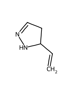 C=CC1CC=NN1